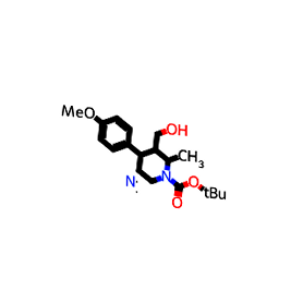 COc1ccc(C2CCN(C(=O)OC(C)(C)C)C(C)C2CO)cc1.[N]